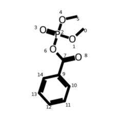 COP(=O)(OC)OC(=O)c1ccccc1